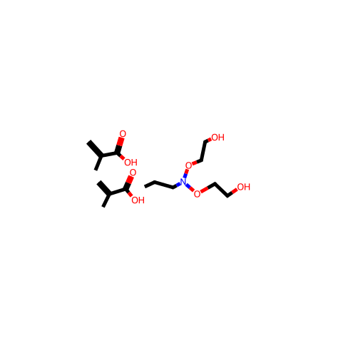 C=C(C)C(=O)O.C=C(C)C(=O)O.CCCN(OCCO)OCCO